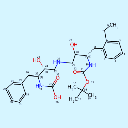 CCc1ccccc1C[C@H](NC(=O)OC(C)(C)C)C(O)CNC[C@@H](O)[C@H](Cc1ccccc1)NC(=O)O